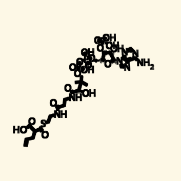 C=CCC(C(=O)O)C(=O)SCCNC(=O)CCNC(=O)[C@H](O)C(C)(C)COP(=O)(O)OP(=O)(O)OC[C@H]1O[C@@H](n2cnc3c(N)ncnc32)[C@H](O)[C@@H]1OP(=O)(O)O